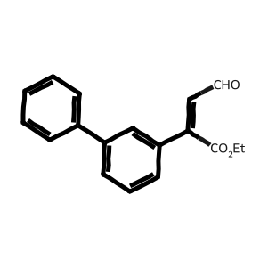 CCOC(=O)C(=CC=O)c1cccc(-c2ccccc2)c1